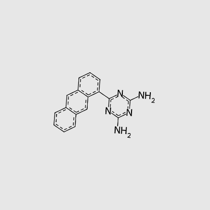 Nc1nc(N)nc(-c2cccc3cc4ccccc4cc23)n1